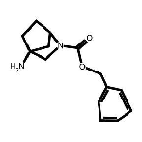 NC12CCC(C1)N(C(=O)OCc1ccccc1)C2